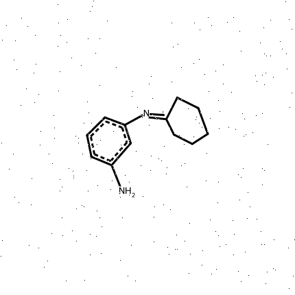 Nc1cccc(N=C2CCCCC2)c1